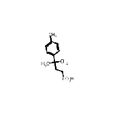 Cc1ccc(C(C)(C)CCC(=O)O)cc1